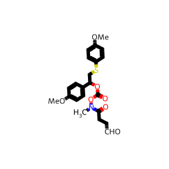 COc1ccc(SCC(OC(=O)ON(C)C(=O)CCC=O)c2ccc(OC)cc2)cc1